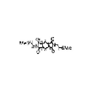 CSCCn1c(=O)c2cc3c(=O)n(CCSC)c(=O)c3cc2c1=O